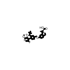 COc1cc(-c2ccc(COc3ccc4c(c3)[C@]3(CC4)C[C@H]3C(=O)O)cc2[C@@H](OC)C(C)(C)C)c(F)cn1